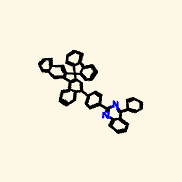 c1ccc(-c2nc(-c3ccc(-c4cc5c(c6ccccc46)-c4cc6ccccc6cc4C54c5ccccc5-c5ccccc54)cc3)nc3ccccc23)cc1